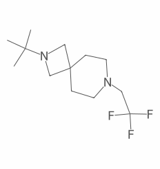 CC(C)(C)N1CC2(CCN(CC(F)(F)F)CC2)C1